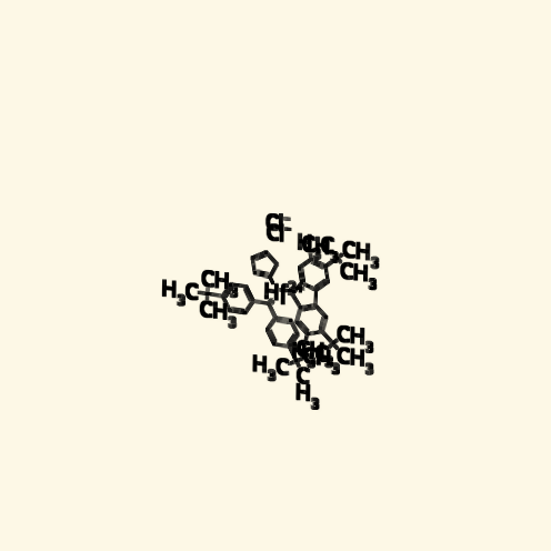 Cc1cc2c(cc1C(C)(C)C)-c1cc(C(C)(C)C)c(C)cc1[CH]2[Hf+2]([C]1=CC=CC1)=[C](c1ccc(C(C)(C)C)cc1)c1ccc(C(C)(C)C)cc1.[Cl-].[Cl-]